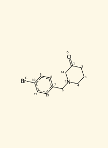 O=C1CCCN(Cc2ccc(Br)cc2)C1